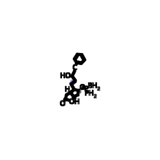 BP(P)O[C@@H]1C[C@@H]2OC(=O)C[C@@H]2C1/C=C/C(O)CCc1ccccc1